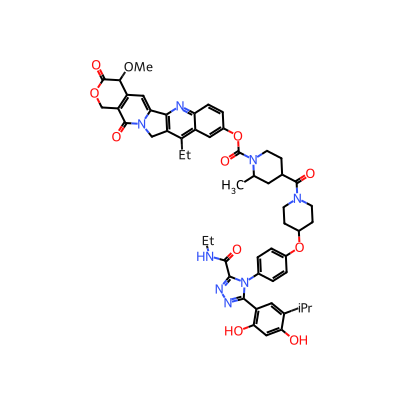 CCNC(=O)c1nnc(-c2cc(C(C)C)c(O)cc2O)n1-c1ccc(OC2CCN(C(=O)C3CCN(C(=O)Oc4ccc5nc6c(c(CC)c5c4)Cn4c-6cc5c(c4=O)COC(=O)C5OC)C(C)C3)CC2)cc1